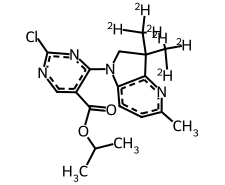 [2H]C([2H])([2H])C1(C([2H])([2H])[2H])CN(c2nc(Cl)ncc2C(=O)OC(C)C)c2ccc(C)nc21